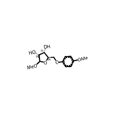 COc1ccc(OC[C@H]2OC(OC)[C@H](O)[C@@H]2O)cc1